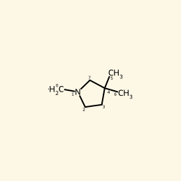 [CH2]N1CCC(C)(C)C1